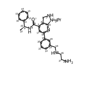 CC(C)N1NCc2c(C(=O)N[C@@H](C)c3ccccc3)cc(-c3cccc(CNCCN)c3)nc21